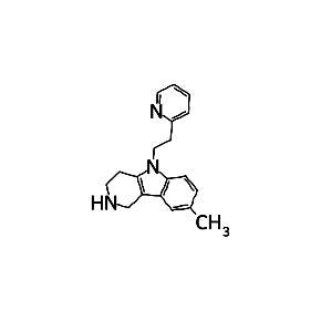 Cc1ccc2c(c1)c1c(n2CCc2ccccn2)CCNC1